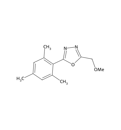 COCc1nnc(-c2c(C)cc(C)cc2C)o1